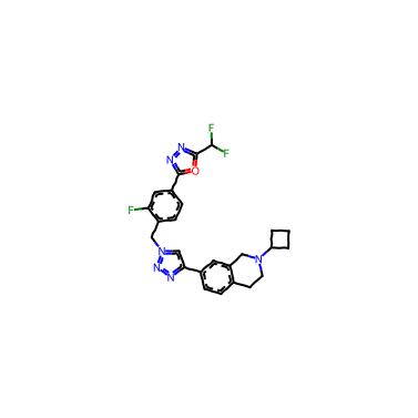 Fc1cc(-c2nnc(C(F)F)o2)ccc1Cn1cc(-c2ccc3c(c2)CN(C2CCC2)CC3)nn1